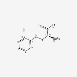 CCC(=O)[C@H](COc1ccccc1Cl)NC